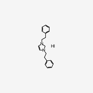 C1=CN(CCc2ccccc2)CN1CCc1ccccc1.I